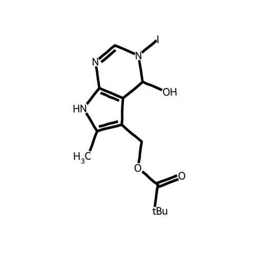 Cc1[nH]c2c(c1COC(=O)C(C)(C)C)C(O)N(I)C=N2